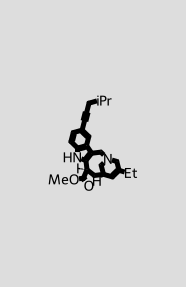 CCC1=C[C@H]2CN(C1)Cc1c([nH]c3ccc(C#CCC(C)C)cc13)[C@](I)(C(=O)OC)C2